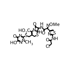 CON=C(C(=O)N[C@@H]1C(=O)N2C(C(=O)O)=C(CSc3nc(=O)c(O)nn3C)CS[C@H]12)c1csc(NC(=O)CCl)n1